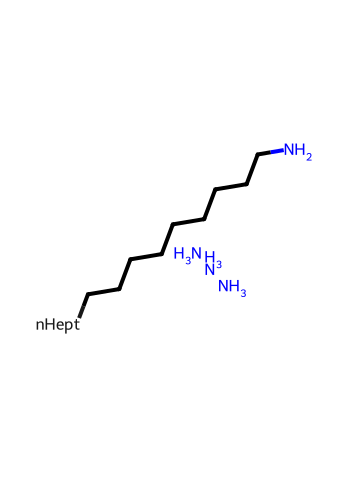 CCCCCCCCCCCCCCCCN.N.N.N